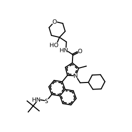 Cc1c(C(=O)NCC2(O)CCOCC2)cc(-c2ccc(SNC(C)(C)C)c3ccccc23)n1CC1CCCCC1